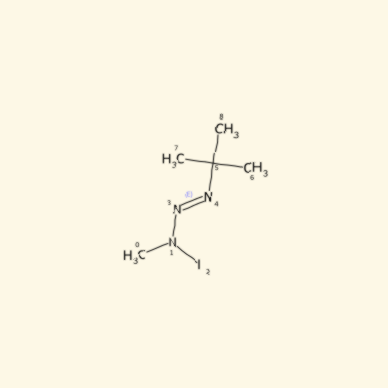 CN(I)/N=N/C(C)(C)C